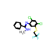 CN/C(=N\c1cc(SCC(F)(F)F)c(Cl)cc1Cl)c1ccccc1